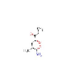 CCC(=O)C(=O)CC(C)C(N)=O